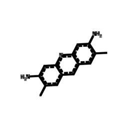 Cc1cc2cc3cc(C)c(N)cc3nc2cc1N